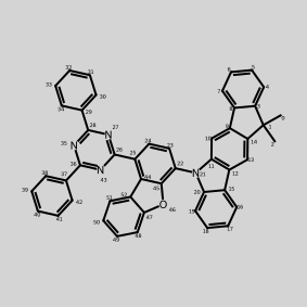 CC1(C)c2ccccc2-c2cc3c(cc21)c1ccccc1n3-c1ccc(-c2nc(-c3ccccc3)nc(-c3ccccc3)n2)c2c1oc1ccccc12